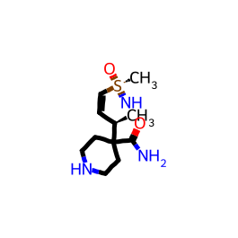 C[C@H](/C=C\[S@](C)(=N)=O)C1(C(N)=O)CCNCC1